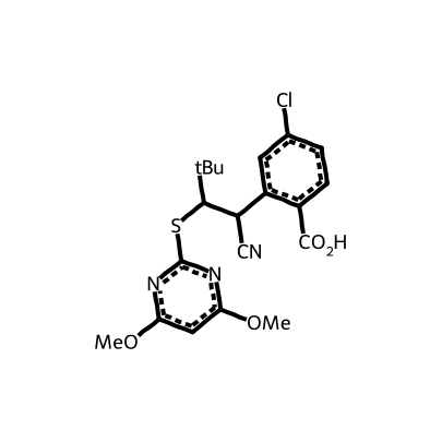 COc1cc(OC)nc(SC(C(C#N)c2cc(Cl)ccc2C(=O)O)C(C)(C)C)n1